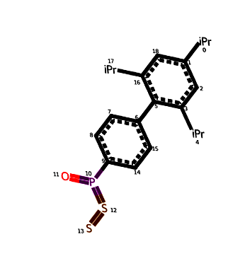 CC(C)c1cc(C(C)C)c(-c2ccc(P(=O)=S=S)cc2)c(C(C)C)c1